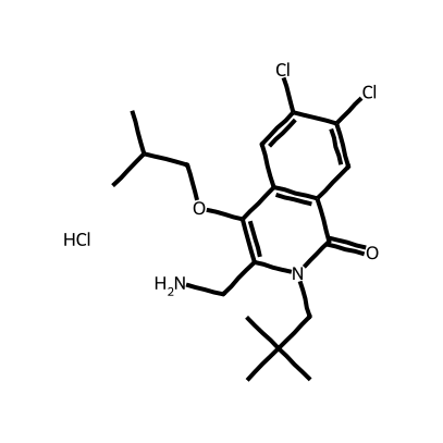 CC(C)COc1c(CN)n(CC(C)(C)C)c(=O)c2cc(Cl)c(Cl)cc12.Cl